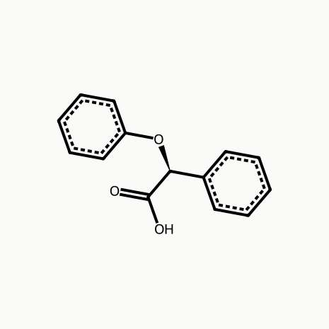 O=C(O)[C@@H](Oc1ccccc1)c1ccccc1